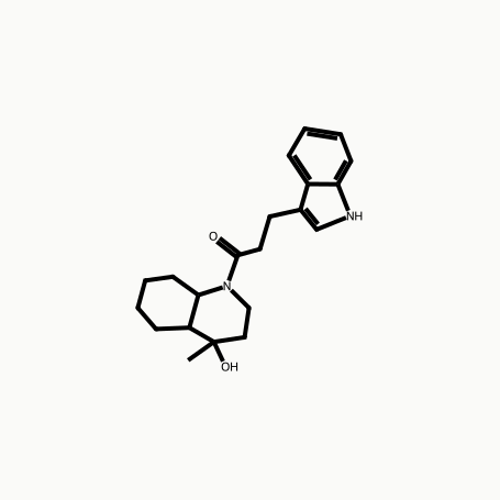 CC1(O)CCN(C(=O)CCc2c[nH]c3ccccc23)C2CCCCC21